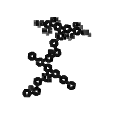 Cc1cc(C)c(-c2ccc3c4ccc(-c5c(C)cc(C)cc5C)cc4c4nc(-c5cccc(-c6cccc7c6oc6cc(-c8cc(-c9ccccc9)ccc8-c8ccc9c%10ccc(-c%11ccc(-c%12ccccc%12)cc%11)cc%10c%10ncc(-c%11cccc(-c%12cccc%13c%12oc%12ccccc%12%13)c%11)nc%10c9c8)ccc67)c5)cnc4c3c2)c(C)c1